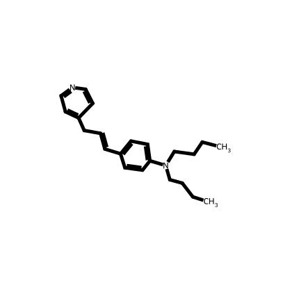 CCCCN(CCCC)c1ccc(/C=C/Cc2ccncc2)cc1